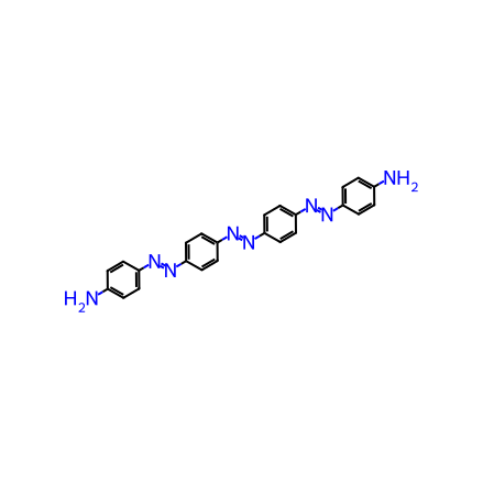 Nc1ccc(N=Nc2ccc(N=Nc3ccc(N=Nc4ccc(N)cc4)cc3)cc2)cc1